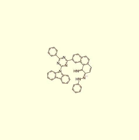 N=C1/C(=N\Nc2ccccc2)C=Cc2ccc3ccc(-c4nc(-c5ccccc5)nc(-n5c6ccccc6c6ccccc65)n4)cc3c21